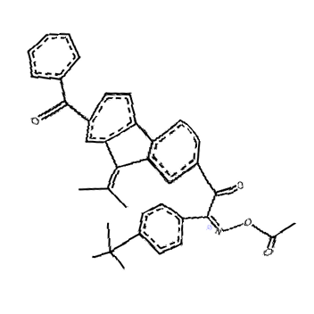 CC(=O)O/N=C(\C(=O)c1ccc2c(c1)C(=C(C)C)c1cc(C(=O)c3ccccc3)ccc1-2)c1ccc(C(C)(C)C)cc1